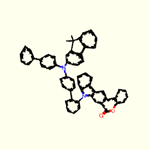 CC1(C)c2ccccc2-c2ccc(N(c3ccc(-c4ccccc4)cc3)c3ccc(-c4ccccc4-n4c5ccccc5c5cc6c(cc54)c(=O)oc4ccccc46)cc3)cc21